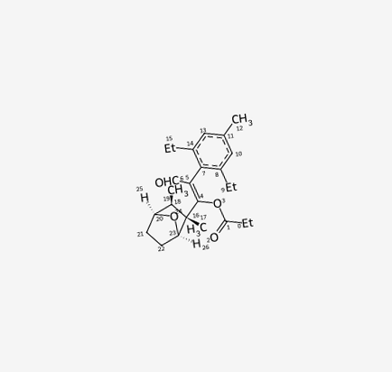 CCC(=O)O/C(=C(/C=O)c1c(CC)cc(C)cc1CC)[C@@]1(C)[C@H](C)[C@@H]2CC[C@H]1O2